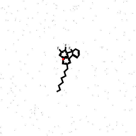 CCCCCCCCc1cccc(C2=CC=CCC2(F)c2cccc(F)c2F)c1